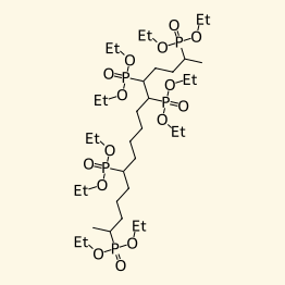 CCOP(=O)(OCC)C(C)CCCC(CCCCC(C(CCC(C)P(=O)(OCC)OCC)P(=O)(OCC)OCC)P(=O)(OCC)OCC)P(=O)(OCC)OCC